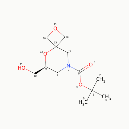 CC(C)(C)OC(=O)N1C[C@@H](CO)OC2(COC2)C1